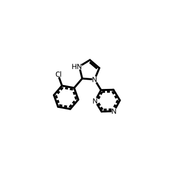 Clc1ccccc1C1NC=CN1c1ccncn1